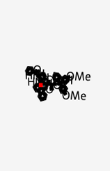 COc1ccc(C(OCC(CO)N(C(=O)O)C(CC2c3ccccc3-c3ccccc32)c2c[nH]c3c(NC(=O)c4ccccc4)ncnc23)(c2ccccc2)c2ccc(OC)cc2)cc1